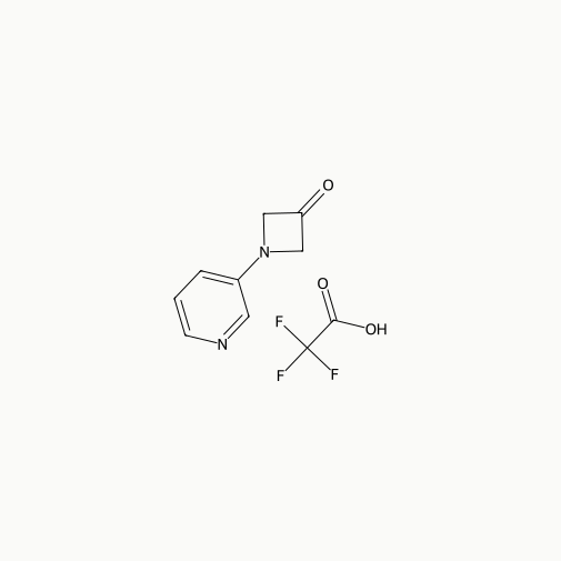 O=C(O)C(F)(F)F.O=C1CN(c2cccnc2)C1